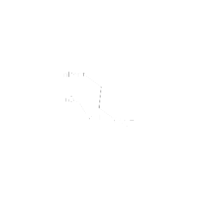 CCCCCCCC(=O)O.CCC[CH2][SnH]